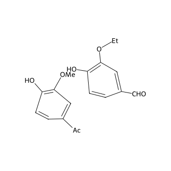 CCOc1cc(C=O)ccc1O.COc1cc(C(C)=O)ccc1O